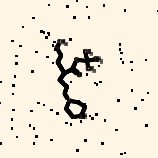 COCCC(CCCN1CCNCC1)C(=O)OC(C)(C)C